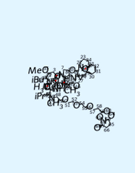 CC[C@H](C)[C@@H]([C@@H](CC(=O)N1CCC[C@H]1[C@H](OC)[C@@H](C)C(=O)N[C@@]1(C(=O)N2CCCCO2)C[C@@H]1c1ccccc1)OC)N(C)C(=O)[C@@H](NC(=O)[C@H](C(C)C)N(C)CCOCCOCCOCCC(=O)ON1C(=O)CCC1=O)C(C)C